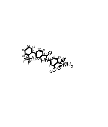 COc1cc(NC(=O)c2ccc(-c3ccccc3C(F)(F)F)cc2)ccc1S(N)(=O)=O